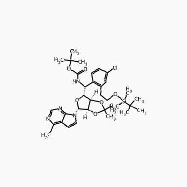 Cc1ncnc2c1ccn2[C@@H]1O[C@H](C(NC(=O)OC(C)(C)C)c2ccc(Cl)cc2CCO[Si](C)(C)C(C)(C)C)[C@H]2OC(C)(C)O[C@H]21